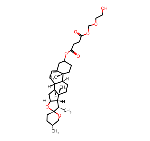 C[C@@H]1CC[C@@]2(OC1)O[C@H]1C[C@@H]3[C@@H]4CC=C5C[C@@H](OC(=O)CCC(=O)OCOCCO)CC[C@]5(C)[C@H]4CC[C@]3(C)[C@@H]1[C@@H]2C